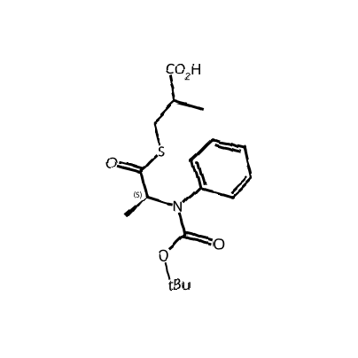 CC(CSC(=O)[C@H](C)N(C(=O)OC(C)(C)C)c1ccccc1)C(=O)O